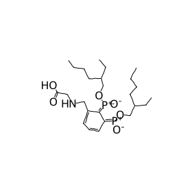 CCCCC(CC)CO[P+]([O-])=C1C=CC=C(CNCC(=O)O)C1=[P+]([O-])OCC(CC)CCCC